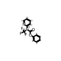 O=C(Oc1ccccc1)N(c1ccccn1)C(F)(F)F